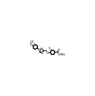 COC(=O)c1ccc(OCc2ncn(-c3ccc(OC(F)(F)F)cc3)n2)c(F)c1